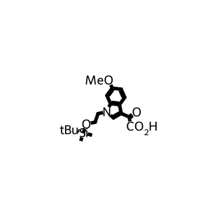 COc1ccc2c(C(=O)C(=O)O)cn(CCO[Si](C)(C)C(C)(C)C)c2c1